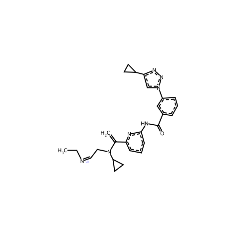 C=C(c1cccc(NC(=O)c2cccc(-n3cc(C4CC4)nn3)c2)n1)N(C/C=N\CC)C1CC1